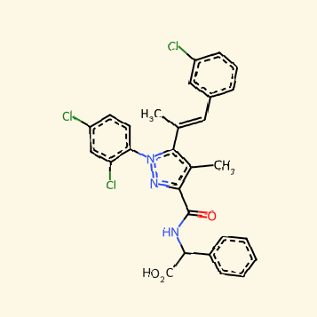 C/C(=C\c1cccc(Cl)c1)c1c(C)c(C(=O)NC(C(=O)O)c2ccccc2)nn1-c1ccc(Cl)cc1Cl